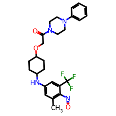 Cc1cc(NC2CCC(OCC(=O)N3CCN(c4ccccc4)CC3)CC2)cc(C(F)(F)F)c1N=O